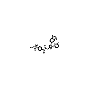 CCCS(=O)(=O)c1ccc(NC(=O)Cc2cc(-c3ccc4ncnn4c3)n(-c3cccc(C)n3)n2)cc1